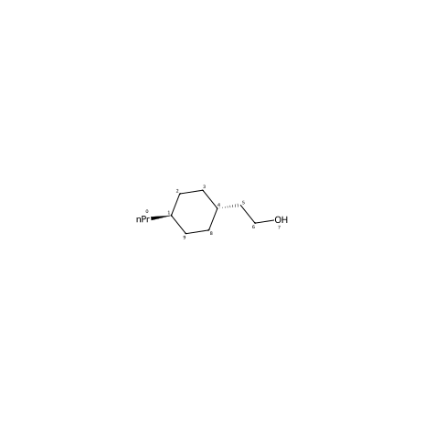 CCC[C@H]1CC[C@H](CCO)CC1